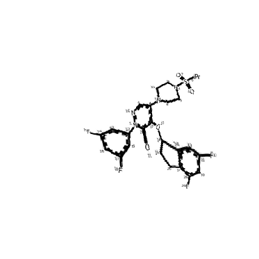 CC(C)S(=O)(=O)N1CCN(c2cnn(-c3cc(F)cc(F)c3)c(=O)c2OC2CCc3c(F)cc(F)cc32)CC1